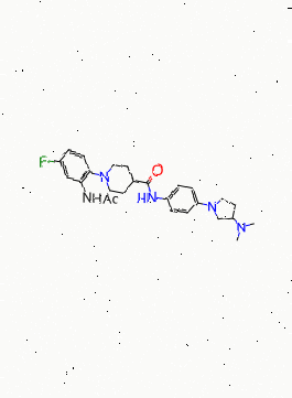 CC(=O)Nc1cc(F)ccc1N1CCC(C(=O)Nc2ccc(N3CCC(N(C)C)C3)cc2)CC1